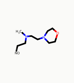 CN(CCN=O)CCN1CCOCC1